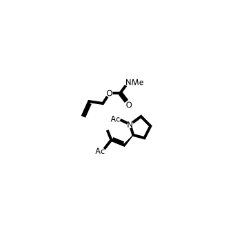 C=CCOC(=O)NC.CC(=O)C(C)=C[C@@H]1CCCN1C(C)=O